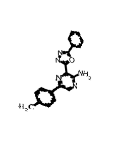 [CH2]c1ccc(-c2cnc(N)c(-c3nnc(-c4ccccc4)o3)n2)cc1